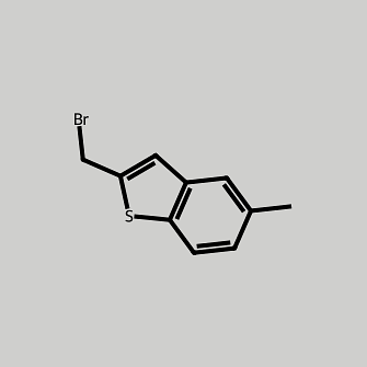 Cc1ccc2sc(CBr)cc2c1